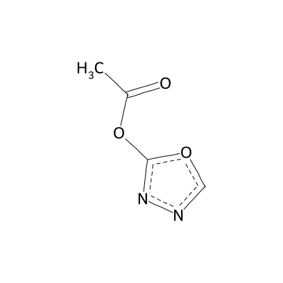 CC(=O)Oc1nnco1